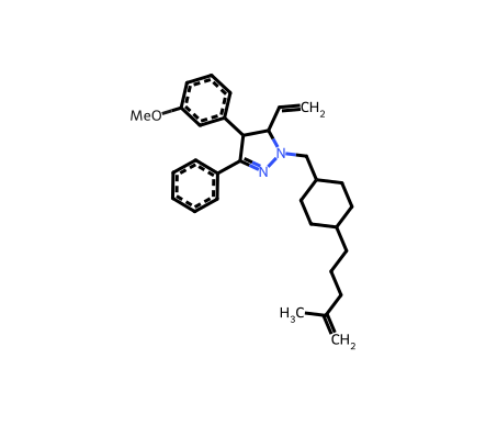 C=CC1C(c2cccc(OC)c2)C(c2ccccc2)=NN1CC1CCC(CCCC(=C)C)CC1